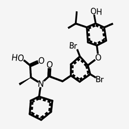 Cc1cc(Oc2c(Br)cc(CC(=O)N(c3ccccc3)[C@@H](C)C(=O)O)cc2Br)cc(C(C)C)c1O